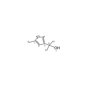 [CH2]c1cc(C(C)(C)O)cs1